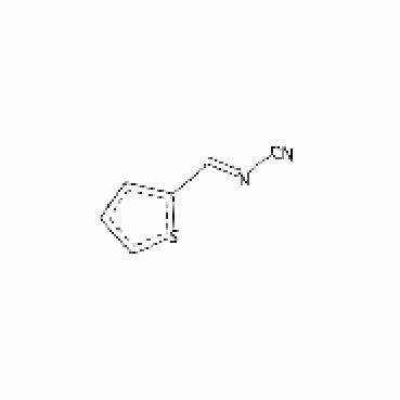 N#CN=Cc1cccs1